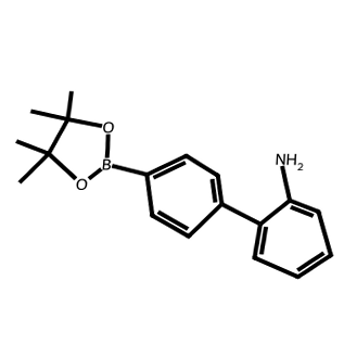 CC1(C)OB(c2ccc(-c3ccccc3N)cc2)OC1(C)C